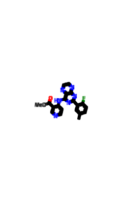 COC(=O)c1cnccc1Nc1nc(-c2cc(C)ccc2F)nc2nccnc12